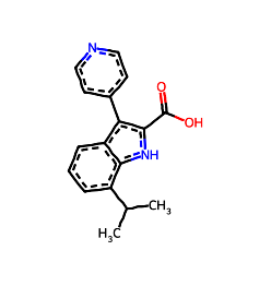 CC(C)c1cccc2c(-c3ccncc3)c(C(=O)O)[nH]c12